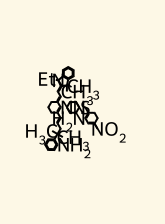 CCN1/C(=C/C=C2\CCCC(/C=C/CC(C)(C)c3ccccc3N)=C2N2CCN(SC3=C(N)C=C([N+](=O)[O-])CC3)CC2)C(C)(C)c2ccccc21